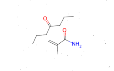 C=C(C)C(N)=O.CCCC(=O)CCC